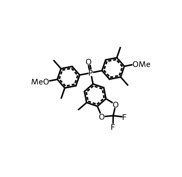 COc1c(C)cc(P(=O)(c2cc(C)c(OC)c(C)c2)c2cc(C)c3c(c2)OC(F)(F)O3)cc1C